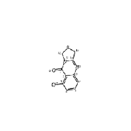 O=c1c2c(Cl)cccc2nc2n1CCC2